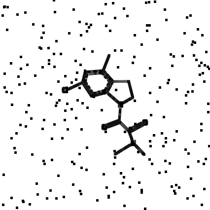 Cc1cc(Cl)cc2c1CCN2C(=O)C(=O)N(C)C